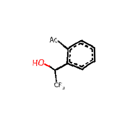 CC(=O)c1ccccc1C(O)C(F)(F)F